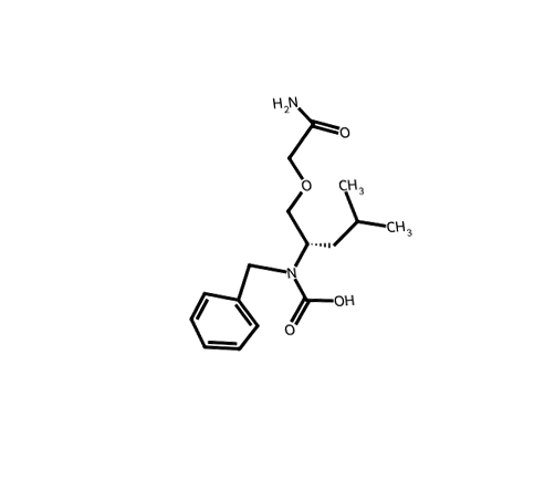 CC(C)C[C@@H](COCC(N)=O)N(Cc1ccccc1)C(=O)O